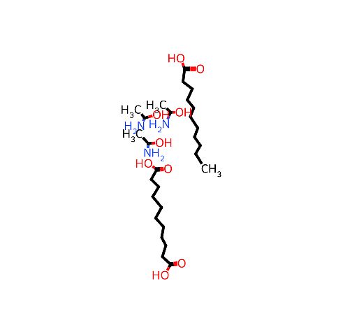 CC(N)O.CC(N)O.CC(N)O.CCCCCCCCCCC(=O)O.O=C(O)CCCCCCCCCC(=O)O